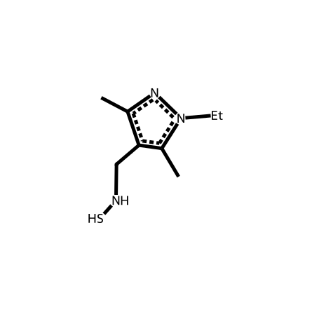 CCn1nc(C)c(CNS)c1C